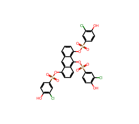 O=S(=O)(Oc1cccc2c(OS(=O)(=O)c3ccc(O)c(Cl)c3)c3c(OS(=O)(=O)c4ccc(O)c(Cl)c4)cccc3cc12)c1ccc(O)c(Cl)c1